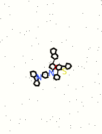 c1ccc(N(c2ccc(-c3ccc4ccccc4c3)cc2)c2ccc(-n3c4ccccc4c4ccccc43)cc2)c(-c2cccc3c2sc2ccccc23)c1